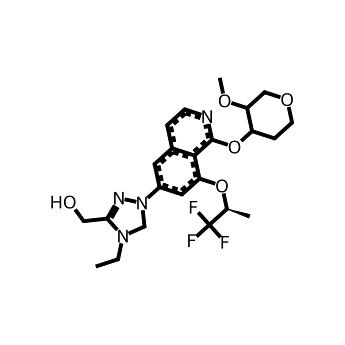 CCN1CN(c2cc(O[C@@H](C)C(F)(F)F)c3c(OC4CCOCC4OC)nccc3c2)N=C1CO